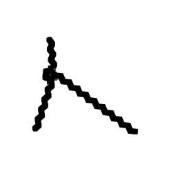 CCCCCCCCCCCCCCCCCCCc1n(CCCCCC)cc[n+]1CCCCCCCCCC